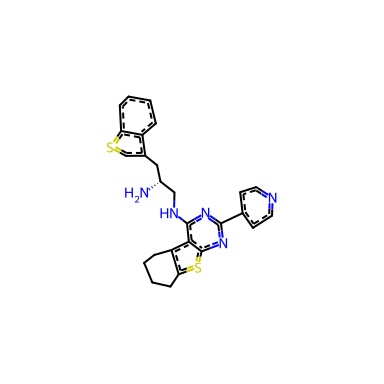 N[C@@H](CNc1nc(-c2ccncc2)nc2sc3c(c12)CCCC3)Cc1csc2ccccc12